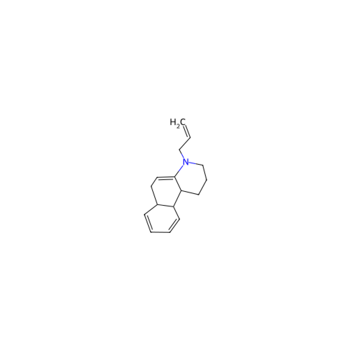 C=CCN1CCCC2C1=CCC1C=CC=CC12